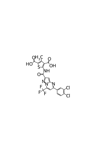 Cc1c(C(=O)O)sc(NC(=O)c2cc3nc(-c4ccc(Cl)c(Cl)c4)cc(C(F)(F)F)n3n2)c1C(=O)O